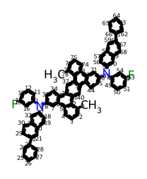 Cc1cccc2c3cc(N(c4cccc(F)c4)c4ccc5cc(-c6ccccc6)ccc5c4)ccc3c3cc4c(cc3c12)c1ccc(N(c2cccc(F)c2)c2ccc3cc(-c5ccccc5)ccc3c2)cc1c1cccc(C)c14